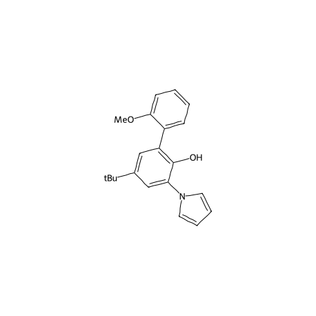 COc1ccccc1-c1cc(C(C)(C)C)cc(-n2cccc2)c1O